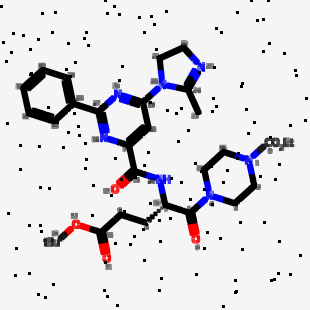 CCOC(=O)N1CCN(C(=O)[C@H](CCC(=O)OC(C)(C)C)NC(=O)c2cc(N3CCN=C3C)nc(-c3ccccc3)n2)CC1